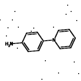 Nc1ccc(N2C=C=CC=C2)cc1